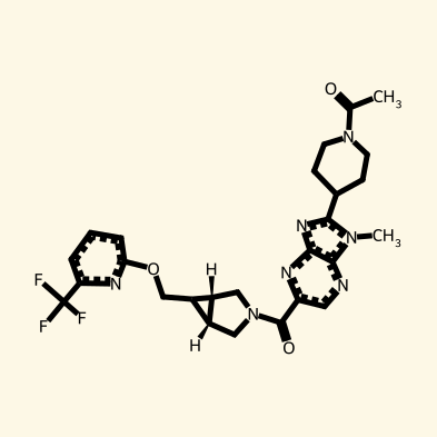 CC(=O)N1CCC(c2nc3nc(C(=O)N4C[C@@H]5C(COc6cccc(C(F)(F)F)n6)[C@@H]5C4)cnc3n2C)CC1